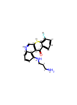 NCCCNc1cccc2ncc3sc4c(F)cccc4c(=O)c3c12